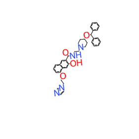 O=C(NCCN1CCC(OC(c2ccccc2)c2ccccc2)CC1)c1cc2cccc(OCCn3ccnc3)c2cc1O